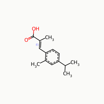 C/C(=C\c1ccc(C(C)C)cc1C)C(=O)O